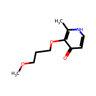 COCCCOc1c(C)[nH]ccc1=O